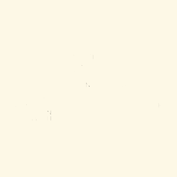 CC(C)(C)Cn1cc(CCNS(=O)(=O)C2CC2)c2ccc(-c3ccc(F)cc3Cl)cc21